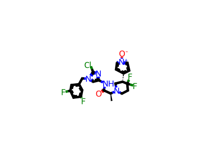 C[C@@H](C(=O)Nc1cn(Cc2cc(F)cc(F)c2)c(Cl)n1)N1CCC(F)(F)[C@@H](c2cc[n+]([O-])cc2)C1